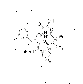 CCCCCC(=O)N1C[C@H](F)C[C@H]1C(=O)N(C)[C@H](C(=O)N[C@@H](CCNc1ccccc1)C(=O)NO)C(C)CC